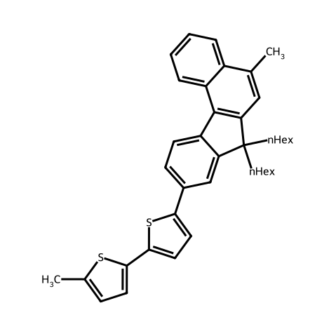 CCCCCCC1(CCCCCC)c2cc(-c3ccc(-c4ccc(C)s4)s3)ccc2-c2c1cc(C)c1ccccc21